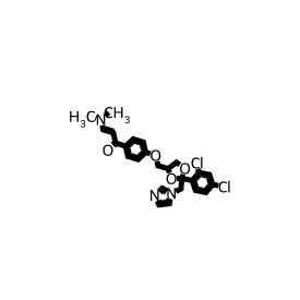 CN(C)C=CC(=O)c1ccc(OCC2COC(Cn3ccnc3)(c3ccc(Cl)cc3Cl)O2)cc1